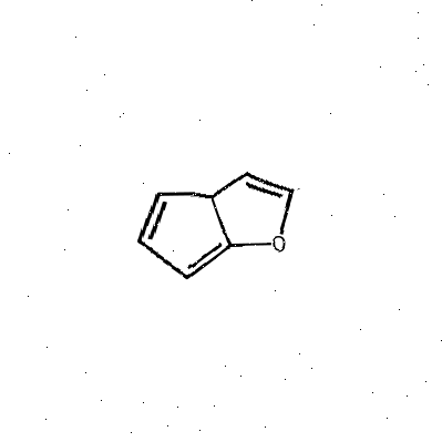 [C]1=CC2C=CC=C2O1